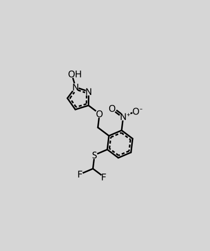 O=[N+]([O-])c1cccc(SC(F)F)c1COc1ccn(O)n1